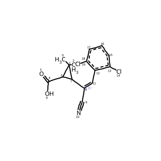 CC1(C)C(C(=O)O)C1/C(C#N)=C\c1c(Cl)cccc1Cl